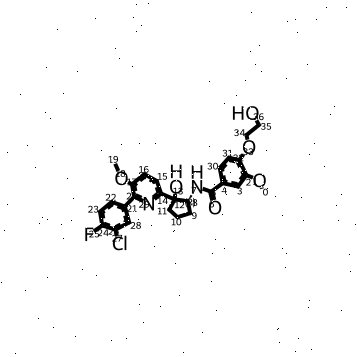 COc1cc(C(=O)N[C@@H]2CCCC2(O)c2ccc(OC)c(-c3ccc(F)c(Cl)c3)n2)ccc1OCCO